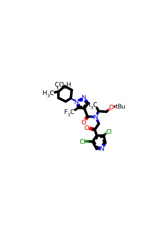 CC(COC(C)(C)C)N(CC(=O)c1c(Cl)cncc1Cl)C(=O)c1cnn([C@H]2CC[C@](C)(C(=O)O)CC2)c1C(F)(F)F